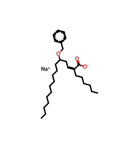 CCCCCCCCCCCC(CC=C(CCCCCC)C(=O)[O-])OCc1ccccc1.[Na+]